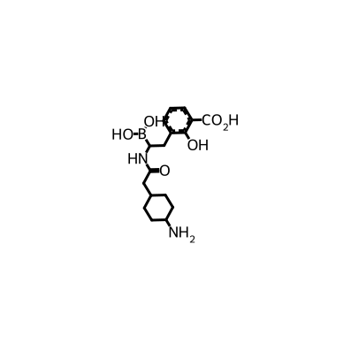 NC1CCC(CC(=O)NC(Cc2cccc(C(=O)O)c2O)B(O)O)CC1